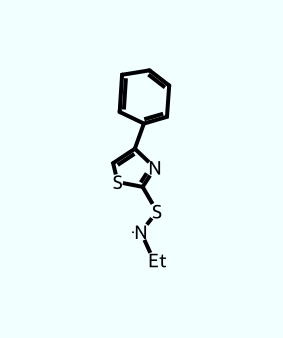 CC[N]Sc1nc(-c2ccccc2)cs1